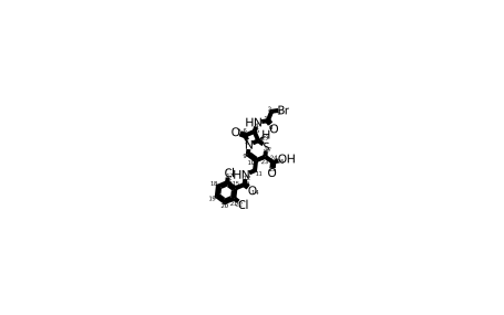 O=C(CBr)NC1C(=O)N2C=C(CNC(=O)c3c(Cl)cccc3Cl)C(C(=O)O)S[C@H]12